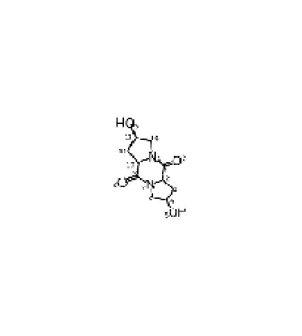 O=C1C2CC(O)CN2C(=O)C2CC(O)CN12